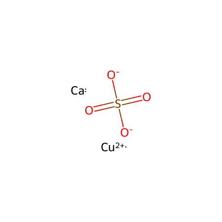 O=S(=O)([O-])[O-].[Ca].[Cu+2]